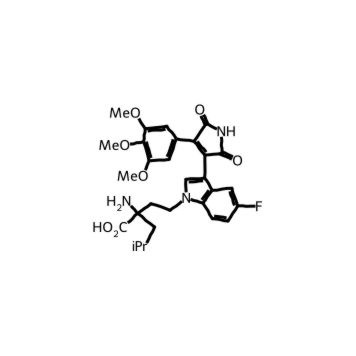 COc1cc(C2=C(c3cn(CCC(N)(CC(C)C)C(=O)O)c4ccc(F)cc34)C(=O)NC2=O)cc(OC)c1OC